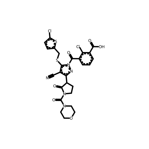 N#Cc1c(C2CCN(C(=O)N3CCOCC3)C2=O)nn(C(=O)c2cccc(C(=O)O)c2Cl)c1SCc1ccc(Cl)s1